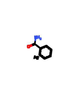 NC(=O)c1ccccc1.[Ag]